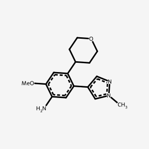 COc1cc(C2CCOCC2)c(-c2cnn(C)c2)cc1N